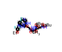 CCOc1cc(F)c(Cn2nc(-c3ncc(OCCCOC(=O)[C@H](C)NC(=O)[C@H](CCCCNC(=O)OC(C)(C)C)NC(=O)OC(C)(C)C)c(Nc4ccnc(C(F)F)c4)n3)c3ccccc32)c(F)c1